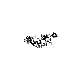 O=P(O)(O)C(CO)(CC1COC1)OC[C@H]1O[C@@H](n2ncc3c(NC4CCCC4)nc(Cl)nc32)[C@H](O)[C@@H]1O